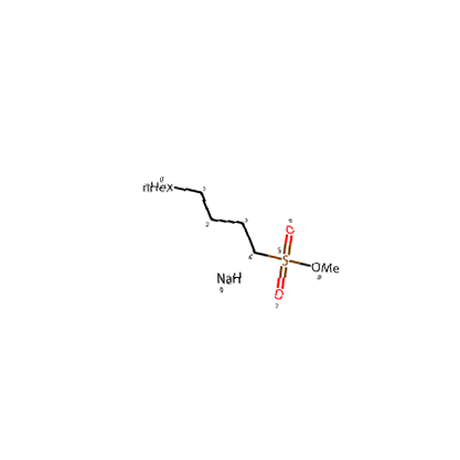 CCCCCCCCCCS(=O)(=O)OC.[NaH]